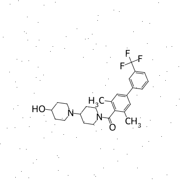 Cc1cc(-c2cccc(C(F)(F)F)c2)cc(C)c1C(=O)N1CCC(N2CCC(O)CC2)CC1